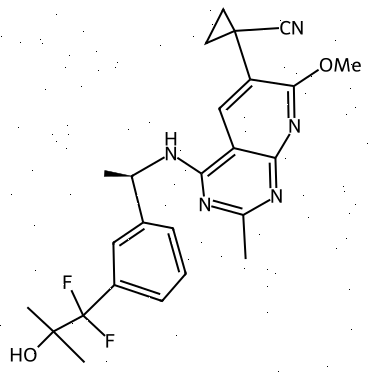 COc1nc2nc(C)nc(N[C@H](C)c3cccc(C(F)(F)C(C)(C)O)c3)c2cc1C1(C#N)CC1